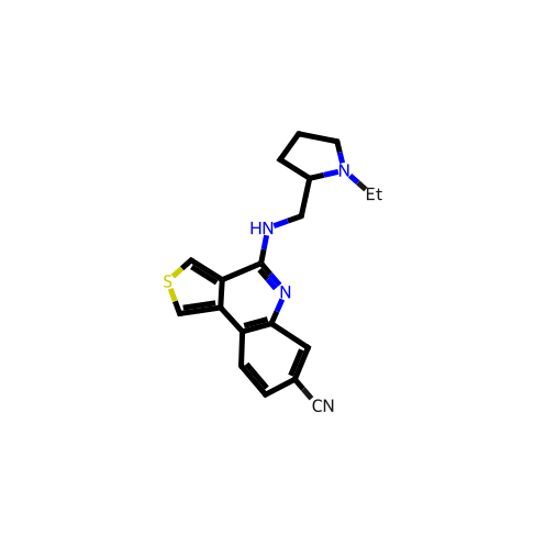 CCN1CCCC1CNc1nc2cc(C#N)ccc2c2cscc12